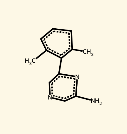 Cc1cccc(C)c1-c1cncc(N)n1